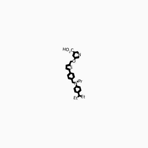 CCC(CC)c1ccc(N(Cc2ccc(-c3ccc(COc4cncc(C(=O)O)c4)s3)cc2)C(C)C)cc1